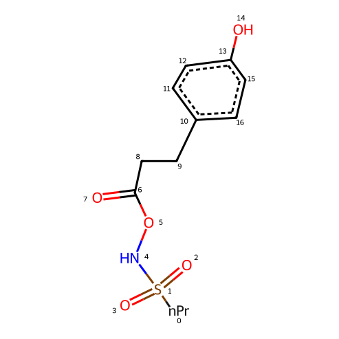 CCCS(=O)(=O)NOC(=O)CCc1ccc(O)cc1